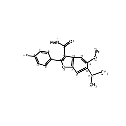 CNC(=O)c1c(-c2ccc(F)cc2)oc2cc(N(C)C)c(OC(C)C)cc12